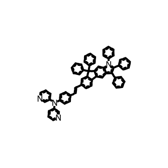 C(=C\c1ccc2c(c1)C(c1ccccc1)(c1ccccc1)c1cc3c(cc1-2)c(-c1ccccc1)c(-c1ccccc1)n3-c1ccccc1)/c1ccc(N(c2cccnc2)c2cccnc2)cc1